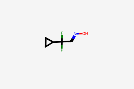 O/N=C/C(F)(F)C1CC1